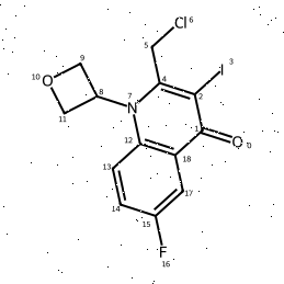 O=c1c(I)c(CCl)n(C2COC2)c2ccc(F)cc12